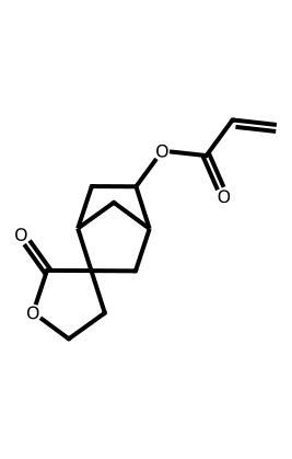 C=CC(=O)OC1CC2CC1CC21CCOC1=O